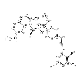 COc1ccc2ncc(Cl)c([C@H](F)CCC3(C(=O)NO)CCN(CC#Cc4cc(F)cc(F)c4F)CC3)c2c1